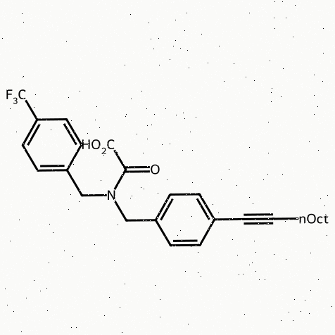 CCCCCCCCC#Cc1ccc(CN(Cc2ccc(C(F)(F)F)cc2)C(=O)C(=O)O)cc1